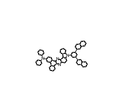 c1ccc(N(c2ccccc2)c2ccc3c(c2)c2ccccc2c2nc4ccc5c(c6ccccc6n5-c5cc(-c6ccc7ccccc7c6)cc(-c6ccc7ccccc7c6)c5)c4nc32)cc1